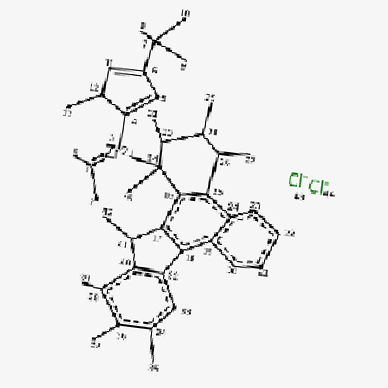 C[C](C)=[Zr+2]([C]1=CC(C(C)(C)C)=CC1C)[C]1(C)c2c3c(c4ccccc4c2C(C)C(C)C1C)-c1cc(C)c(C)c(C)c1C3C.[Cl-].[Cl-]